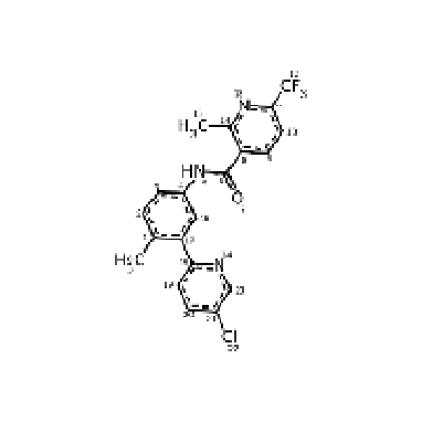 Cc1ccc(NC(=O)c2ccc(C(F)(F)F)nc2C)cc1-c1ccc(Cl)cn1